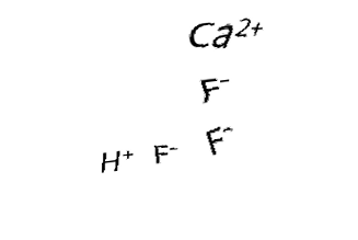 [Ca+2].[F-].[F-].[F-].[H+]